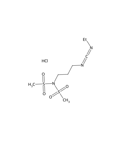 CCN=C=NCCCN(S(C)(=O)=O)S(C)(=O)=O.Cl